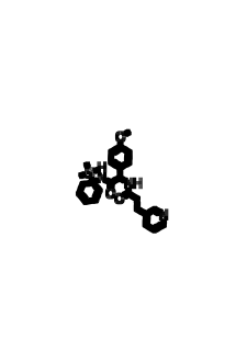 COc1ccc(C(NC(=O)CCc2cccnc2)C(=O)NC2([Si](C)(C)C)C=CC=CC2)cc1